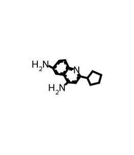 Nc1ccc2nc(C3CCCC3)cc(N)c2c1